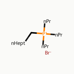 CCCCCCCC[P+](CCC)(CCC)CCC.[Br-]